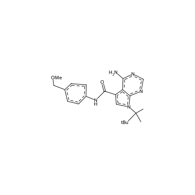 COCc1ccc(NC(=O)c2cn(C(C)(C)C(C)(C)C)c3ncnc(N)c23)cc1